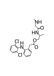 CNCC(=O)NC(C)COC(=O)Cc1ccccc1Nc1c(Cl)cccc1Cl